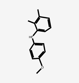 COc1ccc(Pc2cccc(C)c2C)cc1